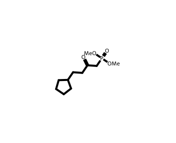 COP(=O)(CC(=O)CCC1CCCC1)OC